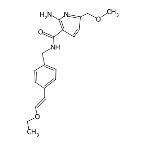 CCOC=Cc1ccc(CNC(=O)c2ccc(COC)nc2N)cc1